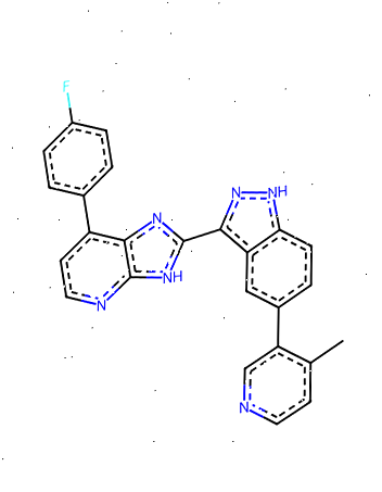 Cc1ccncc1-c1ccc2[nH]nc(-c3nc4c(-c5ccc(F)cc5)ccnc4[nH]3)c2c1